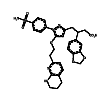 NS(=O)(=O)c1ccc(-n2nc(CC(CC(=O)O)c3ccc4c(c3)OCO4)cc2OCCc2ccc3c(n2)NCCC3)cc1